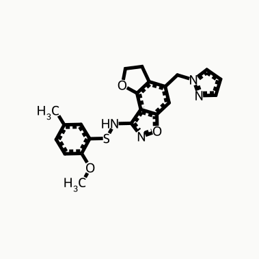 COc1ccc(C)cc1SNc1noc2cc(Cn3cccn3)c3c(c12)OCC3